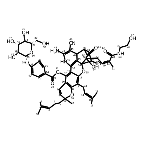 CC(C)=CCCC1(C)C=Cc2c(c(CC=C(C)C)c3c(c2OC(=O)c2ccc(O[C@H]4O[C@@H](CO)[C@H](O)[C@@H](O)[C@@H]4O)cc2)C2=C4C(C(C#N)=C(N)N2)C2CC(C(C)C)C4(O3)C(O)(C/C=C(/C)C(=O)NCCO)C2=O)O1